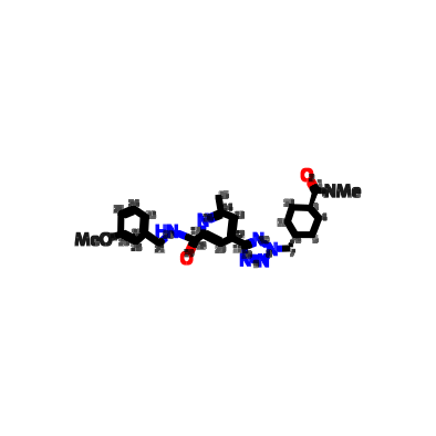 CNC(=O)[C@H]1CC[C@H](Cn2nnc(-c3cc(C)nc(C(=O)NCc4cccc(OC)c4)c3)n2)CC1